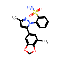 Cc1cc(-c2cc(C(F)(F)F)nn2-c2ccccc2S(N)(=O)=O)cc2c1OCO2